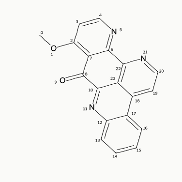 COc1ccnc2c1C(=O)c1nc3ccccc3c3ccnc-2c13